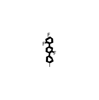 Fc1ccc(-c2ccc(-c3ccc(I)cc3)c(F)c2)c(F)c1